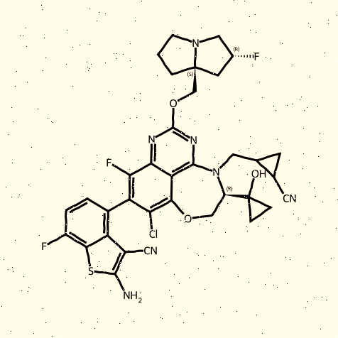 N#Cc1c(N)sc2c(F)ccc(-c3c(Cl)c4c5c(nc(OC[C@@]67CCCN6C[C@H](F)C7)nc5c3F)N(CC3CC3C#N)[C@@H](C3(O)CC3)CO4)c12